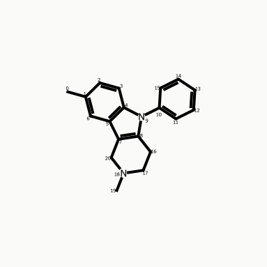 Cc1ccc2c(c1)c1c(n2-c2ccccc2)CCN(C)C1